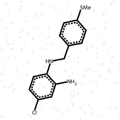 CSc1ccc(CNc2ccc(Cl)cc2N)cc1